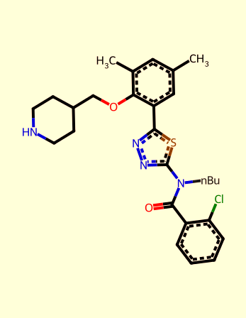 CCCCN(C(=O)c1ccccc1Cl)c1nnc(-c2cc(C)cc(C)c2OCC2CCNCC2)s1